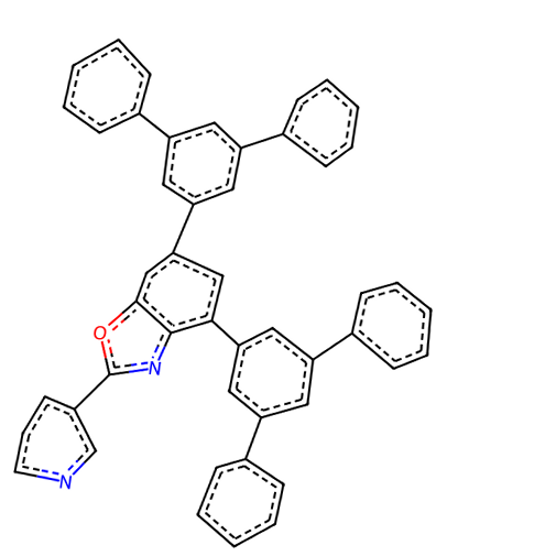 c1ccc(-c2cc(-c3ccccc3)cc(-c3cc(-c4cc(-c5ccccc5)cc(-c5ccccc5)c4)c4nc(-c5cccnc5)oc4c3)c2)cc1